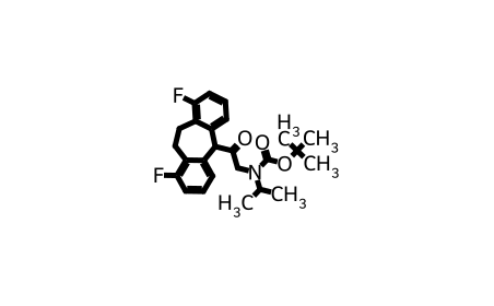 CC(C)N(CC(=O)C1c2cccc(F)c2CCc2c(F)cccc21)C(=O)OC(C)(C)C